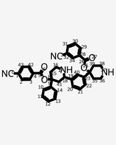 N#Cc1ccc(C(=O)OC2(c3ccccc3)CCNC(c3cccc(C4(OC(=O)c5cccc(C#N)c5)CCNCC4)c3)C2)cc1